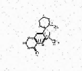 CC(=O)N1CCCC[C@]1(CN(C)C)c1ccc2c(c1)CCCC2=O